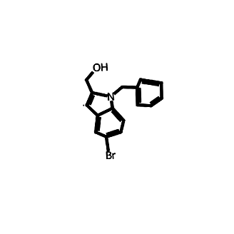 OCc1[c]c2cc(Br)ccc2n1Cc1ccccc1